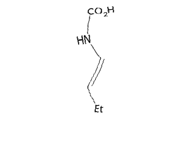 CCC=CNC(=O)O